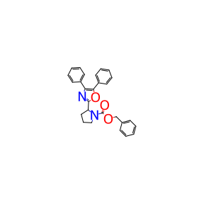 O=C(OCc1ccccc1)N1CCCC1c1nc(-c2ccccc2)c(-c2ccccc2)o1